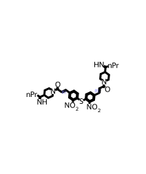 CCCC(=N)C1CCN(C(=O)/C=C/c2ccc(Sc3ccc(/C=C/C(=O)N4CCC(C(=N)CCC)CC4)cc3[N+](=O)[O-])c([N+](=O)[O-])c2)CC1